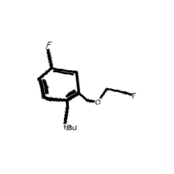 CC(C)(C)c1ccc(F)cc1OCF